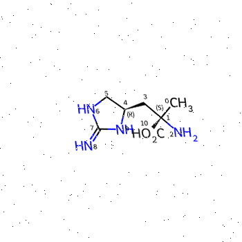 C[C@](N)(C[C@@H]1CNC(=N)N1)C(=O)O